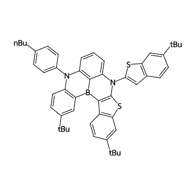 CCCCc1ccc(N2c3ccc(C(C)(C)C)cc3B3c4c2cccc4N(c2cc4ccc(C(C)(C)C)cc4s2)c2sc4cc(C(C)(C)C)ccc4c23)cc1